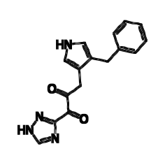 O=C(Cc1c[nH]cc1Cc1ccccc1)C(=O)c1nc[nH]n1